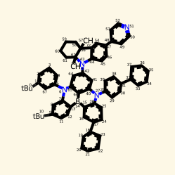 CC(C)(C)c1cccc(N2c3cc(C(C)(C)C)ccc3B3c4cc(-c5ccccc5)ccc4N(c4ccc(-c5ccccc5)cc4)c4cc(N5c6ccc(-c7ccncc7)cc6C6(C)CCCCC56C)cc2c43)c1